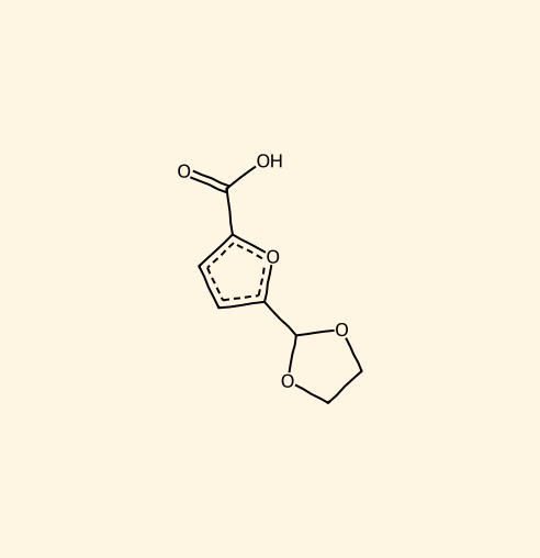 O=C(O)c1ccc(C2OCCO2)o1